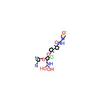 Cc1c(COc2cc(OCc3cncc(C#N)c3)c(CNC(CO)CO)cc2Cl)cccc1-c1cccc(C(=O)NCCN2CC[S+]([O-])CC2)c1C